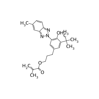 C=C(C)C(=O)OCCCc1cc(-n2nc3ccc(C)cc3n2)c(O)c(C(C)(C)C)c1